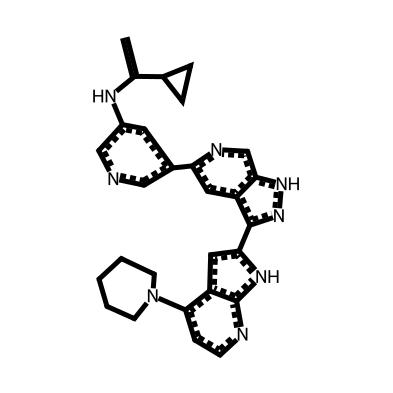 C=C(Nc1cncc(-c2cc3c(-c4cc5c(N6CCCCC6)ccnc5[nH]4)n[nH]c3cn2)c1)C1CC1